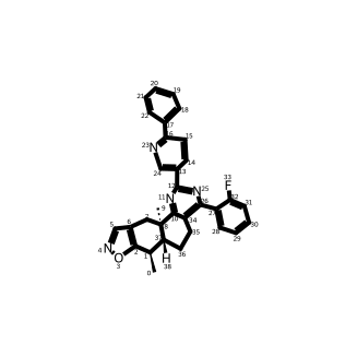 C[C@H]1c2oncc2C[C@@]2(C)c3nc(-c4ccc(-c5ccccc5)nc4)nc(-c4ccccc4F)c3CC[C@H]12